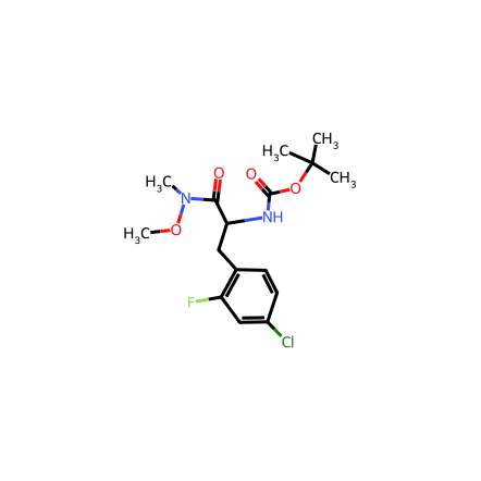 CON(C)C(=O)C(Cc1ccc(Cl)cc1F)NC(=O)OC(C)(C)C